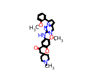 COc1cc2c(cc1Nc1ncc3ccc(-c4ccccc4OC)n3n1)C(=O)CC1(CCN(C)CC1)O2